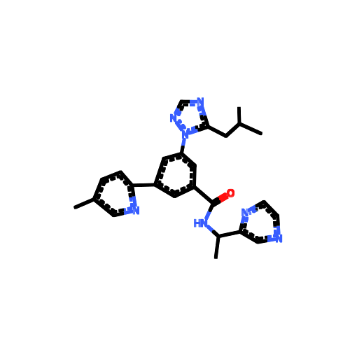 Cc1ccc(-c2cc(C(=O)NC(C)c3cnccn3)cc(-n3ncnc3CC(C)C)c2)nc1